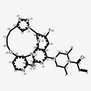 C=CC(=O)N1C(C)CN(c2nc(=O)n3c4nc(c(F)cc24)-n2cc(nn2)CCCOc2ccnc(C(C)C)c2-3)CC1C